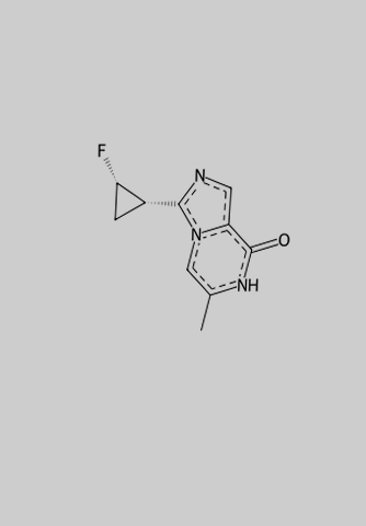 Cc1cn2c([C@@H]3C[C@@H]3F)ncc2c(=O)[nH]1